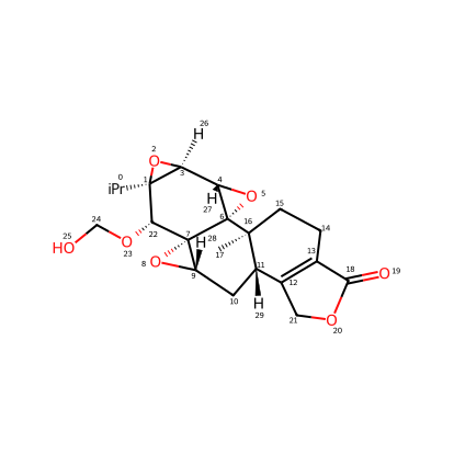 CC(C)[C@]12O[C@H]1[C@@H]1O[C@]13[C@]1(O[C@H]1C[C@H]1C4=C(CC[C@@]13C)C(=O)OC4)[C@@H]2OCO